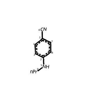 CCCNc1ccc(C#N)cc1